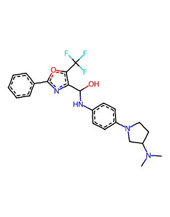 CN(C)C1CCN(c2ccc(NC(O)c3nc(-c4ccccc4)oc3C(F)(F)F)cc2)C1